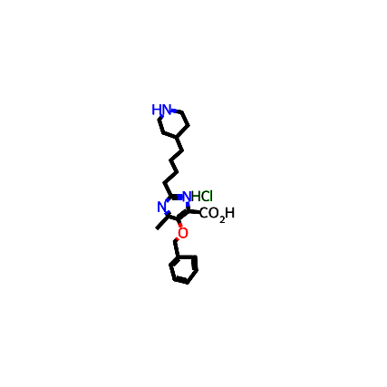 Cc1nc(CCCCC2CCNCC2)nc(C(=O)O)c1OCc1ccccc1.Cl